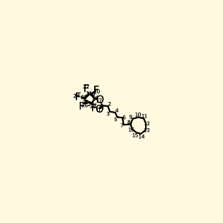 O=C(CCCCCCC1CCCCCCCC1)Oc1c(F)c(F)c(F)c(F)c1F